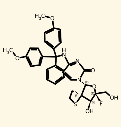 COc1ccc(C(Nc2ccn([C@@H]3O[C@](F)(CO)[C@@H](O)[C@]34CCS4)c(=O)n2)(c2ccccc2)c2ccc(OC)cc2)cc1